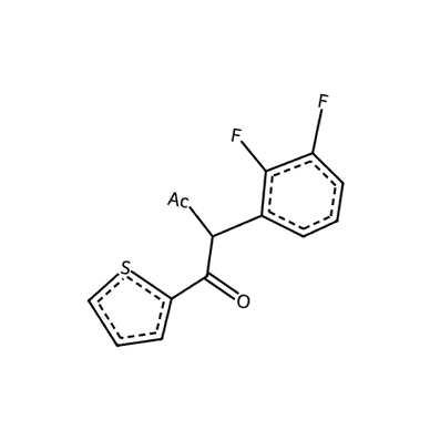 CC(=O)C(C(=O)c1cccs1)c1cccc(F)c1F